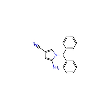 N#Cc1cc(N)n(C(c2ccccc2)c2ccccc2)c1